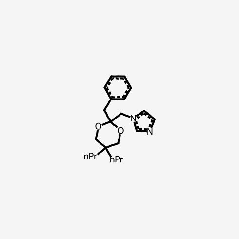 CCCC1(CCC)COC(Cc2ccccc2)(Cn2ccnc2)OC1